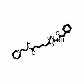 O=C(CCCCc1nnc(NC(=O)Cc2ccccc2)s1)NCCN1CCCCC1